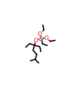 CCO[Si](CC)(OCC)OC(CC)(CC)CCC(C)C